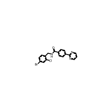 O=C(NCc1ccc(Br)cc1Cl)c1ccc(-c2ncccn2)cc1